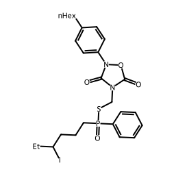 CCCCCCc1ccc(-n2oc(=O)n(CSP(=O)(CCCC(I)CC)c3ccccc3)c2=O)cc1